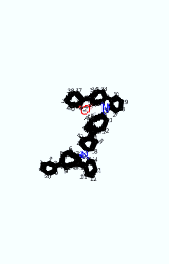 c1ccc(-c2ccc3c(c2)c2ccccc2n3-c2ccc(-c3ccc(-n4c5ccccc5c5ccc6c7ccccc7oc6c54)cc3)cc2)cc1